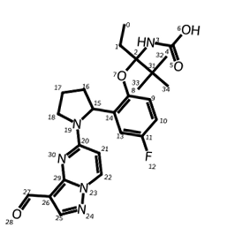 CCC(NC(=O)O)(Oc1ccc(F)cc1C1CCCN1c1ccn2ncc(C=O)c2n1)C(C)(C)C